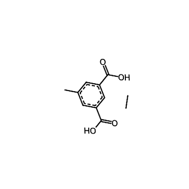 CC.Cc1cc(C(=O)O)cc(C(=O)O)c1